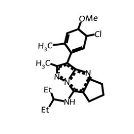 CCC(CC)Nc1c2c(nc3c(C4=CC(Cl)C(OC)C=C4C)c(C)nn13)CCC2